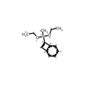 CCO[Si](C)(OCC)C1=Cc2ccccc21